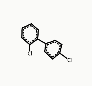 Clc1ccc(-c2cc[c]cc2Cl)cc1